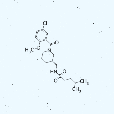 COc1ccc(Cl)cc1C(=O)N1CCC[C@H](CNS(=O)(=O)CCC(C)C)C1